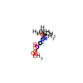 C[SiH](C)OC(c1cn(-c2ccc(N3CC(COS(C)(=O)=O)OC3=O)cc2F)cn1)C(C)(C)C